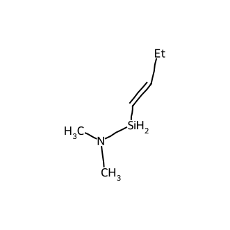 CCC=C[SiH2]N(C)C